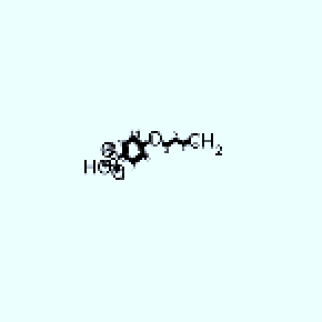 C=CCCOc1ccc(S(=O)(=O)O)cc1